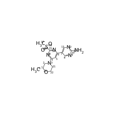 C[C@@H]1CN(c2cc(-c3cnc(N)nc3)nc(S(C)(=O)=O)n2)CCO1